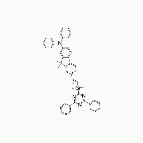 CC1(C)c2cc(/C=C/[Si](C)(C)c3nc(-c4ccccc4)nc(-c4ccccc4)n3)ccc2-c2ccc(N(c3ccccc3)c3ccccc3)cc21